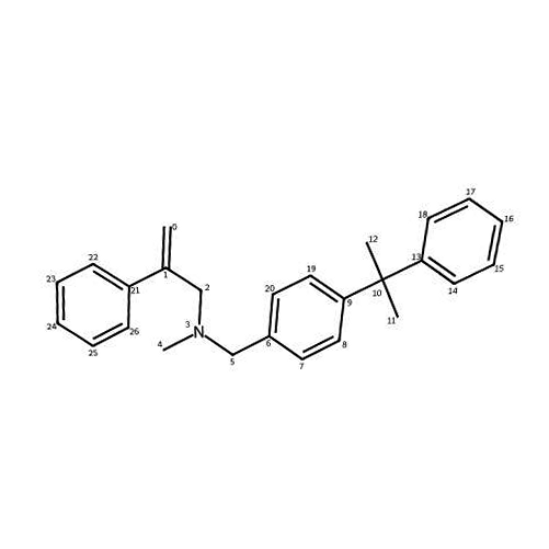 C=C(CN(C)Cc1ccc(C(C)(C)c2ccccc2)cc1)c1ccccc1